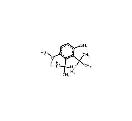 CN(C)c1ccc([SiH3])c(C(C)(C)C)c1C(C)(C)C